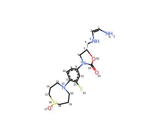 N/C=C\NC[C@H]1CN(c2ccc(N3CCC[S+]([O-])CCC3)c(F)c2)C(=O)O1